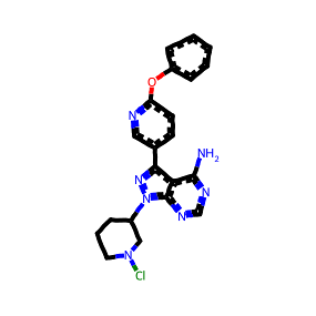 Nc1ncnc2c1c(-c1ccc(Oc3ccccc3)nc1)nn2C1CCCN(Cl)C1